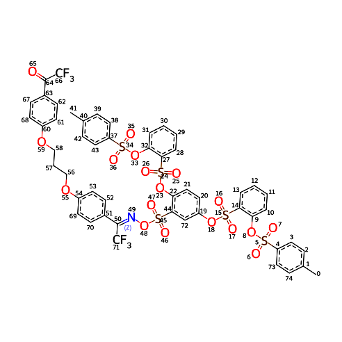 Cc1ccc(S(=O)(=O)Oc2ccccc2S(=O)(=O)Oc2ccc(OS(=O)(=O)c3ccccc3OS(=O)(=O)c3ccc(C)cc3)c(S(=O)(=O)O/N=C(/c3ccc(OCCCOc4ccc(C(=O)C(F)(F)F)cc4)cc3)C(F)(F)F)c2)cc1